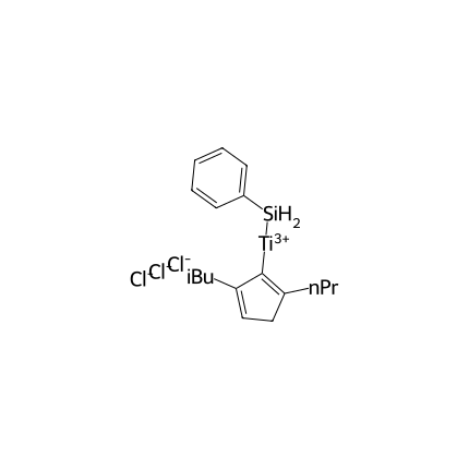 CCCC1=[C]([Ti+3][SiH2]c2ccccc2)C(C(C)CC)=CC1.[Cl-].[Cl-].[Cl-]